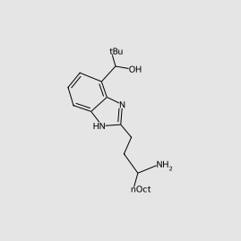 CCCCCCCCC(N)CCc1nc2c(C(O)C(C)(C)C)cccc2[nH]1